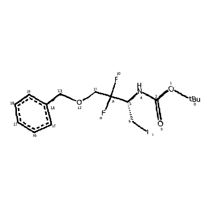 CC(C)(C)OC(=O)N[C@H](CI)C(F)(F)COCc1ccccc1